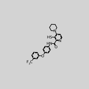 O=C(Nc1ccc(Oc2cccc(C(F)(F)F)c2)cc1)c1nccc(N2CCCCC2)c1S